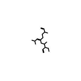 C=CC(C)CCC(=CC(C)C)CC(C)C(C=C)CC